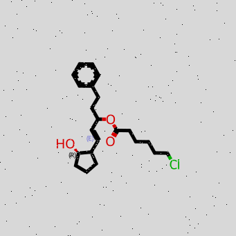 O=C(CCCCCCl)OC(/C=C/C1CCC[C@H]1O)CCc1ccccc1